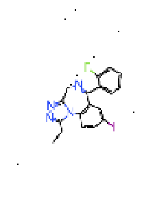 CCc1nnc2n1-c1ccc(I)cc1C(c1ccccc1F)=NC2